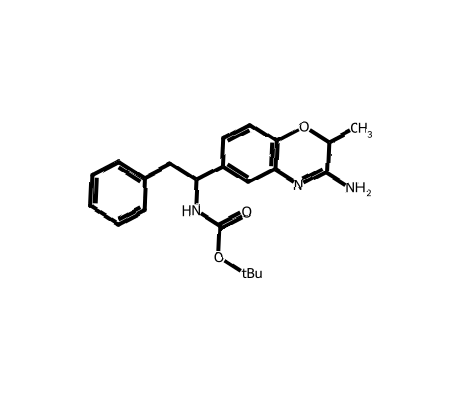 CC1Oc2ccc(C(Cc3ccccc3)NC(=O)OC(C)(C)C)cc2N=C1N